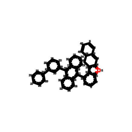 C1=CC2=Cc3oc4cccc(-c5c6ccccc6c(-c6cccc(-c7ccccc7)c6)c6ccccc56)c4c3CC2C=C1